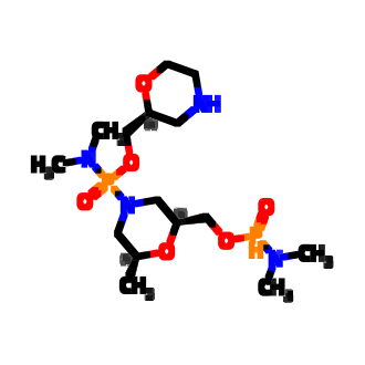 C[C@H]1CN(P(=O)(OC[C@@H]2CNCCO2)N(C)C)C[C@@H](CO[PH](=O)N(C)C)O1